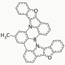 Cc1cc2c3c(c1)-n1c4c(cccc4c4oc5ccccc5c41)B3n1c3c-2cccc3c2oc3ccccc3c21